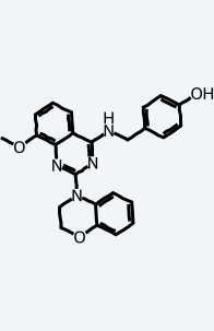 COc1cccc2c(NCc3ccc(O)cc3)nc(N3CCOc4ccccc43)nc12